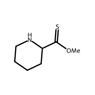 COC(=S)C1CCCCN1